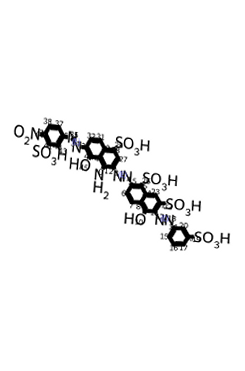 Nc1c(/N=N/c2ccc3c(O)c(/N=N/c4cccc(S(=O)(=O)O)c4)c(S(=O)(=O)O)cc3c2S(=O)(=O)O)cc(S(=O)(=O)O)c2ccc(/N=N/c3ccc([N+](=O)[O-])cc3S(=O)(=O)O)c(O)c12